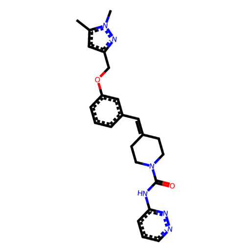 Cc1cc(COc2cccc(C=C3CCN(C(=O)Nc4cccnn4)CC3)c2)nn1C